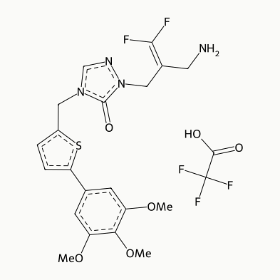 COc1cc(-c2ccc(Cn3cnn(CC(CN)=C(F)F)c3=O)s2)cc(OC)c1OC.O=C(O)C(F)(F)F